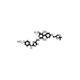 CC1(C)OCC(COc2ccc(-c3c(C#N)c(N)nc(SCc4csc(Nc5ccc(C(=O)O)cc5)n4)c3C#N)cc2)O1